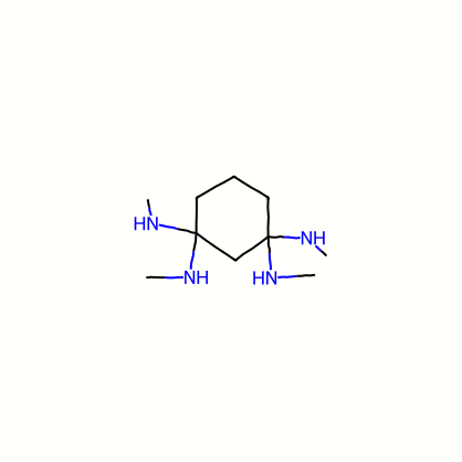 CNC1(NC)CCCC(NC)(NC)C1